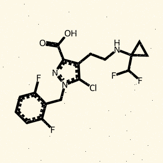 O=C(O)c1nn(Cc2c(F)cccc2F)c(Cl)c1CCNC1(C(F)F)CC1